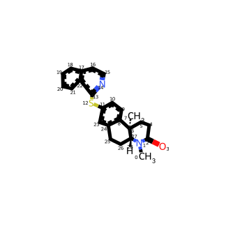 CN1C(=O)CC[C@]2(C)c3ccc(Sc4nccc5ccccc45)cc3CC[C@@H]12